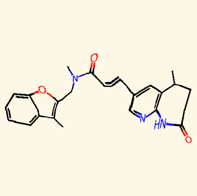 Cc1c(CN(C)C(=O)/C=C/c2cnc3c(c2)C(C)CCC(=O)N3)oc2ccccc12